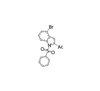 CC(=O)c1cc2c(Br)cccc2n1S(=O)(=O)c1ccccc1